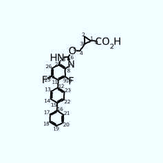 O=C(O)C1CC1COc1nc2c(F)c(-c3ccc(-c4ccccc4)cc3)c(F)cc2[nH]1